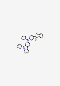 c1ccc(N(c2ccc3c(c2)sc2c4ccccc4sc32)c2ccc3c4ccccc4n(-c4ccccc4)c3c2)cc1